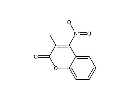 O=c1oc2ccccc2c([N+](=O)[O-])c1I